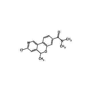 CC1Oc2cc(C(=O)N(C)C)ccc2-c2cnc(Cl)cc21